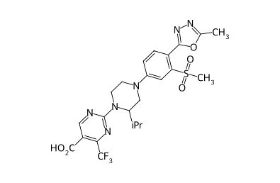 Cc1nnc(-c2ccc(N3CCN(c4ncc(C(=O)O)c(C(F)(F)F)n4)C(C(C)C)C3)cc2S(C)(=O)=O)o1